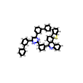 c1ccc(-c2cccc(-c3cc(-c4cccc(-c5ccccc5)c4)nc(-c4cccc(-c5nc6ccccc6c6c5ccc5c7ccccc7sc56)c4)n3)c2)cc1